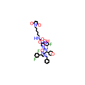 O=C(NCCCCCCN1C(=O)C=CC1=O)O[C@H]1CN(C(=O)N(C[C@@H]2CNC[C@@H]2F)[C@@H](c2nc(-c3cc(F)ccc3F)cn2Cc2ccccc2)C2CCOCC2)C[C@H]1O